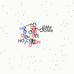 CCC(C)(C)C(=O)C(=O)N1CCCC[C@H]1C(=O)O[C@H](CCc1ccc(OC)c(OC)c1)c1cccc(C(C)(C)CCCC(C)(C)N[C@H]2CCN(C(=O)[C@@H]3C[C@H](SC4=C(C(=O)O)N5C(=O)[C@H]([C@@H](C)O)[C@H]5[C@H]4C)CN3C)C2)c1